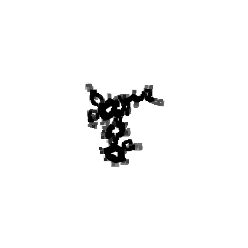 COc1cc2nc(CCN(C)C)nc(N3CCN(c4ccccc4OC)CC3)c2cc1OC